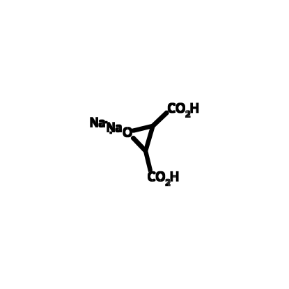 O=C(O)C1OC1C(=O)O.[Na].[Na]